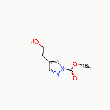 CC(C)(C)OC(=O)n1cc(CCO)cn1